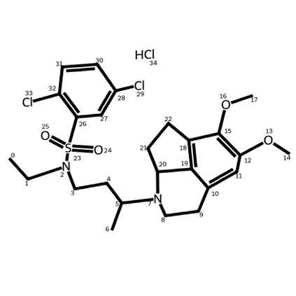 CCN(CCC(C)N1CCc2cc(OC)c(OC)c3c2C1CC3)S(=O)(=O)c1cc(Cl)ccc1Cl.Cl